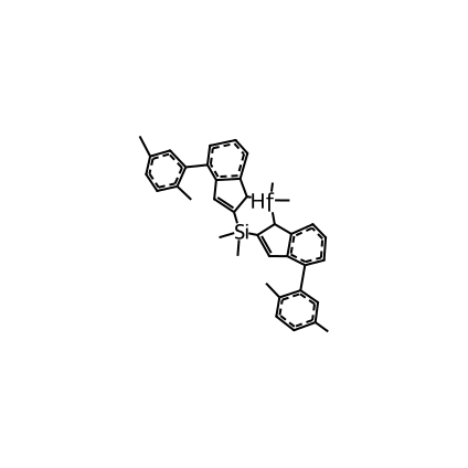 Cc1ccc(C)c(-c2cccc3c2C=C2[CH]3[Hf]([CH3])([CH3])[CH]3C(=Cc4c(-c5cc(C)ccc5C)cccc43)[Si]2(C)C)c1